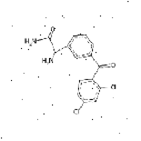 NC(=O)C(N)c1cccc(C(=O)c2ccc(Cl)cc2Cl)c1